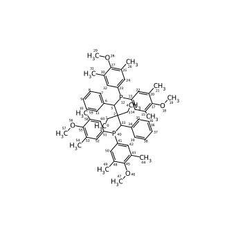 CCC(CC)(C(c1ccccc1)P(c1cc(C)c(OC)c(C)c1)c1cc(C)c(OC)c(C)c1)C(c1ccccc1)P(c1cc(C)c(OC)c(C)c1)c1cc(C)c(OC)c(C)c1